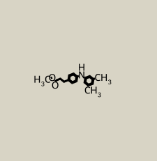 COC(=O)CCc1ccc(Nc2cc(C)cc(C)c2)cc1